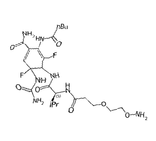 CCCCC(=O)NC1=C(F)C(NC(=O)[C@@H](NC(=O)CCOCCON)C(C)C)C(F)(NC(N)=O)C=C1C(N)=O